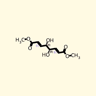 COC(=O)/C=C/[C@@H](O)[C@H](O)/C=C/C(=O)OC